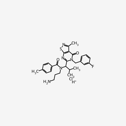 Cc1ccc(C(=O)N(CCCN)C(c2nc3snc(C)c3c(=O)n2Cc2cccc(F)c2)C(C)C)cc1.[Cl-].[H+]